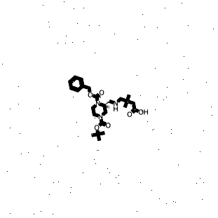 CC(C)(CNC[C@@H]1CN(C(=O)OC(C)(C)C)CCN1C(=O)OCc1ccccc1)CC(=O)O